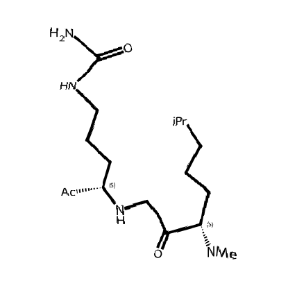 CN[C@@H](CCCC(C)C)C(=O)CN[C@@H](CCCNC(N)=O)C(C)=O